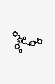 O=C1C(=Cc2ccccc2)SC(c2cccc(Cl)c2)N1CCCN1CCN(c2ccccn2)CC1